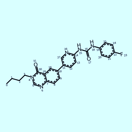 CCCCn1cnc2ccc(-c3ccc(NC(=O)Nc4ccc(F)cc4)nc3)cc2c1=O